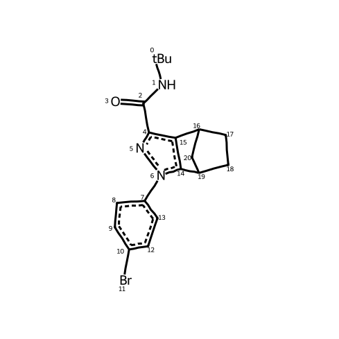 CC(C)(C)NC(=O)c1nn(-c2ccc(Br)cc2)c2c1C1CCC2C1